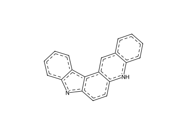 c1ccc2[nH]c3ccc4nc5ccccc5c4c3cc2c1